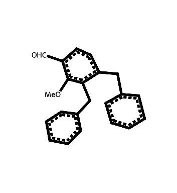 COc1c(C=O)ccc(Cc2ccccc2)c1Cc1ccccc1